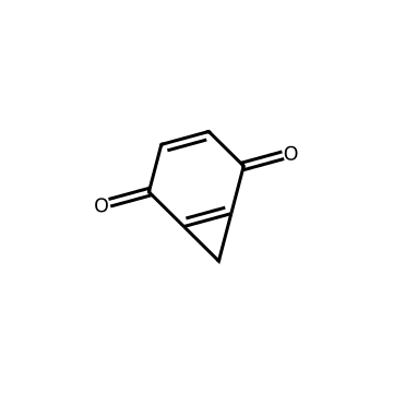 O=C1C=CC(=O)C2=C1C2